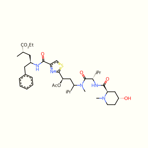 CCOC(=O)[C@@H](C)C[C@H](Cc1ccccc1)NC(=O)c1csc([C@@H](CC(C(C)C)N(C)C(=O)[C@@H](NC(=O)[C@H]2C[C@H](O)CCN2C)C(C)C)OC(C)=O)n1